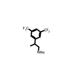 CNCC(C)c1cc(C(F)(F)F)cc(C(F)(F)F)c1